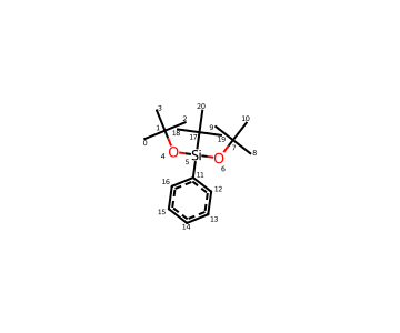 CC(C)(C)O[Si](OC(C)(C)C)(c1ccccc1)C(C)(C)C